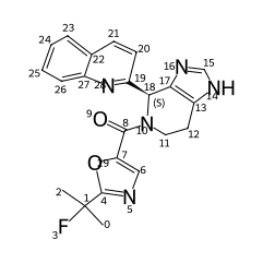 CC(C)(F)c1ncc(C(=O)N2CCc3[nH]cnc3[C@@H]2c2ccc3ccccc3n2)o1